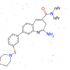 CCCN(CCC)C(=O)C1=Cc2ccc(-c3cccc(SN4CCCCC4)c3)cc2N=C(N)C1